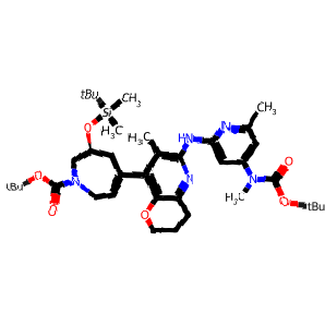 Cc1cc(N(C)C(=O)OC(C)(C)C)cc(Nc2nc3c(c(C4=CCN(C(=O)OC(C)(C)C)C[C@@H](O[Si](C)(C)C(C)(C)C)C4)c2C)OCCC3)n1